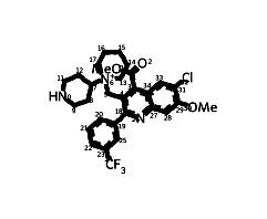 COC(=O)c1c(C[N+]2(C3CCNCC3)CCCCC2)c(-c2cccc(C(F)(F)F)c2)nc2cc(OC)c(Cl)cc12